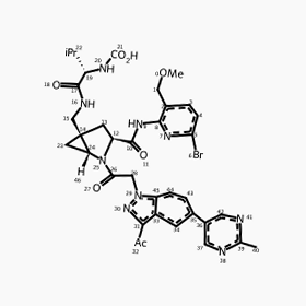 COCc1ccc(Br)nc1NC(=O)[C@@H]1C[C@@]2(CNC(=O)[C@@H](NC(=O)O)C(C)C)C[C@H]2N1C(=O)Cn1nc(C(C)=O)c2cc(-c3cnc(C)nc3)ccc21